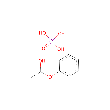 CC(O)Oc1ccccc1.O=P(O)(O)O